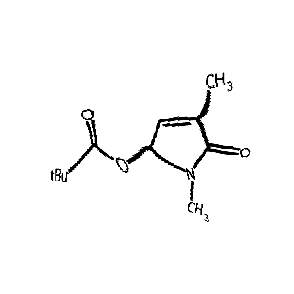 CC1=CC(OC(=O)C(C)(C)C)N(C)C1=O